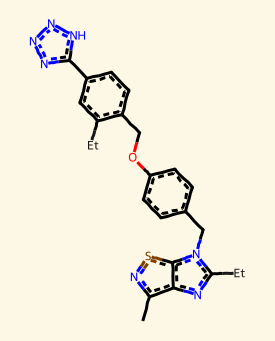 CCc1cc(-c2nnn[nH]2)ccc1COc1ccc(Cn2c(CC)nc3c(C)nsc32)cc1